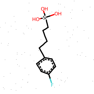 O[Si](O)(O)CCCCc1ccc(F)cc1